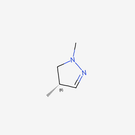 C[C@H]1C=NN(C)C1